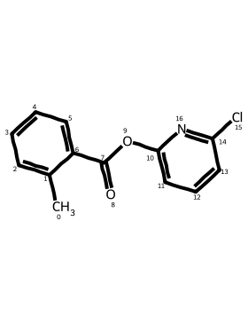 Cc1ccccc1C(=O)Oc1cccc(Cl)n1